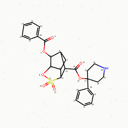 O=C(OC1C2CC3C1OS(=O)(=O)C3C2C(=O)OC1(c2ccccc2)CCNCC1)c1ccccc1